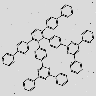 c1ccc(-c2ccc(-c3ccc(-c4ccc(-c5ccccc5)cc4)c(-c4ccc(-c5nc(-c6ccccc6)nc(-c6ccccc6)n5)cc4)c3-c3ccc(-c4nc(-c5ccccc5)cc(-c5ccccc5)n4)cc3)cc2)cc1